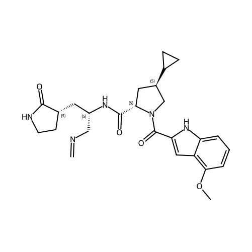 C=NC[C@H](C[C@@H]1CCNC1=O)NC(=O)[C@@H]1C[C@@H](C2CC2)CN1C(=O)c1cc2c(OC)cccc2[nH]1